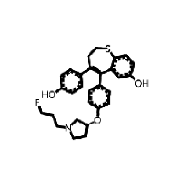 Oc1ccc(C2=C(c3ccc(O[C@H]4CCN(CCCF)C4)cc3)c3cc(O)ccc3SCC2)cc1